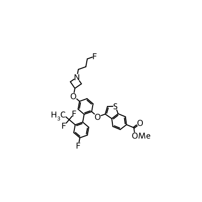 COC(=O)c1ccc2c(Oc3ccc(OC4CN(CCCF)C4)cc3-c3ccc(F)cc3C(C)(F)F)csc2c1